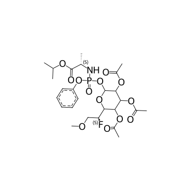 COC[C@H](F)C1OC(OP(=O)(N[C@@H](C)C(=O)OC(C)C)Oc2ccccc2)C(OC(C)=O)C(OC(C)=O)C1OC(C)=O